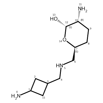 NC1CC(CNC[C@@H]2CC[C@@H](N)[C@@H](O)O2)C1